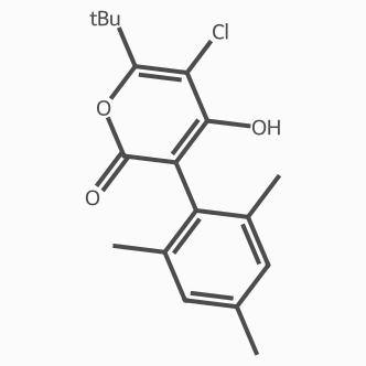 Cc1cc(C)c(-c2c(O)c(Cl)c(C(C)(C)C)oc2=O)c(C)c1